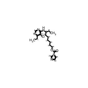 CCc1ncnc(NC(CC)CCCCCCOC(=O)n2ccnc2)c1Cl